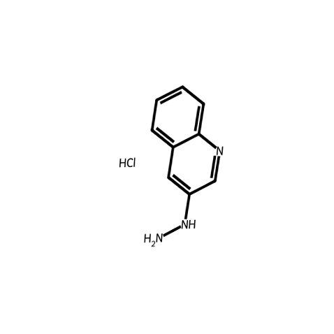 Cl.NNc1cnc2ccccc2c1